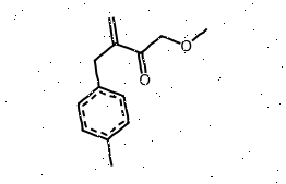 C=C(Cc1ccc(C)cc1)C(=O)COC